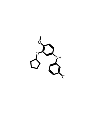 COc1ccc(Nc2cccc(Cl)c2)cc1OC1CCCC1